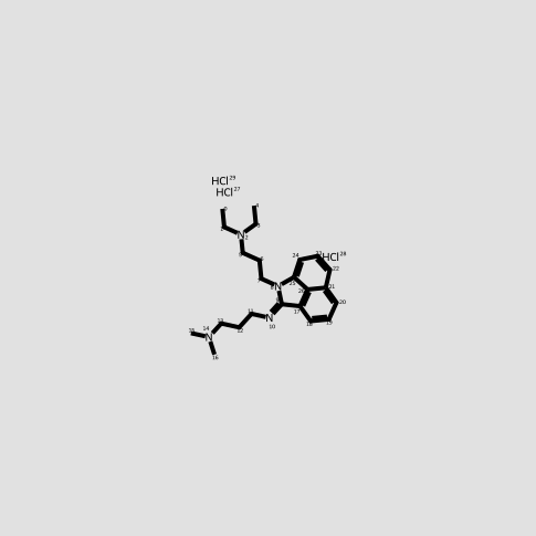 CCN(CC)CCCN1C(=NCCCN(C)C)c2cccc3cccc1c23.Cl.Cl.Cl